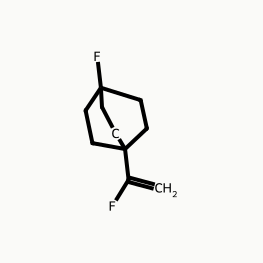 C=C(F)C12CCC(F)(CC1)CC2